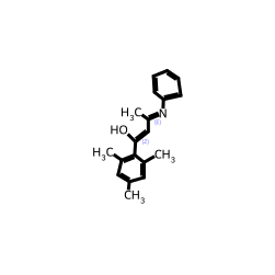 CC(/C=C(\O)c1c(C)cc(C)cc1C)=N\c1ccccc1